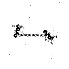 Cc1c(C(=O)c2ccc(N)c(C(=O)O)c2)c2ccccn2c1OCCOCCOCCOCCOCCOCCOc1c(C)c(C(=O)c2ccc(N)c(C(=O)O)c2)c2ccccn12